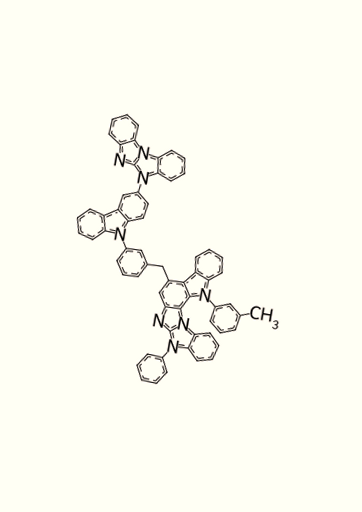 Cc1cccc(-n2c3ccccc3c3c(Cc4cccc(-n5c6ccccc6c6cc(-n7c8ccccc8n8c9ccccc9nc78)ccc65)c4)cc4nc5n(-c6ccccc6)c6ccccc6n5c4c32)c1